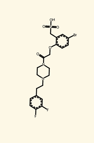 O=C(COc1ccc(Br)cc1CS(=O)(=O)O)N1CCN(CCc2ccc(F)c(F)c2)CC1